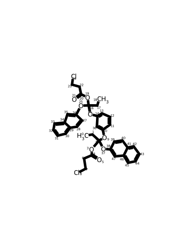 CCC(OC(=O)CCCl)(Oc1cccc(OC(CC)(OC(=O)CCCl)Oc2ccc3ccccc3c2)c1)Oc1ccc2ccccc2c1